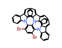 Brc1cc(Br)c(-n2c3ccccc3c3ccccc32)c(-n2c3ccccc3c3ccccc32)c1-n1c2ccccc2c2ccccc21